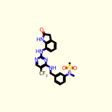 CN(c1cccc(CNc2nc(Nc3cccc4c3NC(=O)C4)ncc2C(F)(F)F)c1)S(C)(=O)=O